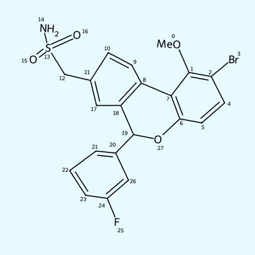 COc1c(Br)ccc2c1-c1ccc(CS(N)(=O)=O)cc1C(c1cccc(F)c1)O2